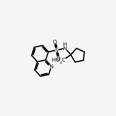 O=C(O)C1(NS(=O)(=O)c2cccc3cccnc23)CCCC1